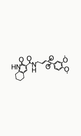 COc1ccc(S(=O)(=O)/C=C/CNC(=O)c2cc3c([nH]c2=O)CCCC3)cc1OC